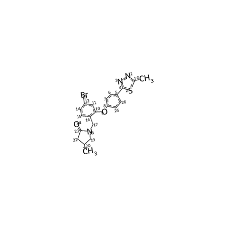 Cc1nnc(-c2ccc(Oc3cc(Br)ccc3CN3CC(C)CC3=O)cc2)s1